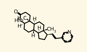 C[C@]12CCC(=O)N[C@@H]1CC[C@@H]1[C@@H]2CC[C@]2(C)[C@@H](/C=C/c3cccnc3)CC[C@@H]12